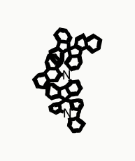 c1ccc2c(c1)-c1ccccc1C21c2cc(N(c3cccc4c3-c3ccccc3C43c4ccccc4-n4c5ccccc5c5cccc3c54)c3cc4ccccc4c4ccccc34)ccc2-c2c1ccc1ccccc21